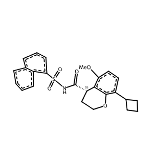 COc1ccc(C2CCC2)c2c1[C@@H](C(=O)NS(=O)(=O)c1cccc3ccccc13)CCO2